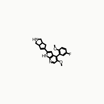 COc1ccc(F)cc1-c1c(OC)cnc2[nH]c(C3=CC4CNCC4C3)cc12